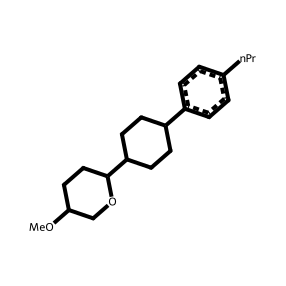 CCCc1ccc(C2CCC(C3CCC(OC)CO3)CC2)cc1